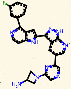 NC1CN(c2cncc(-c3cnc4[nH]nc(-c5cc6c(-c7cccc(F)c7)nccc6[nH]5)c4c3)n2)C1